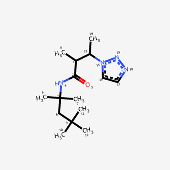 CC(C(=O)NC(C)(C)CC(C)(C)C)C(C)n1ccnn1